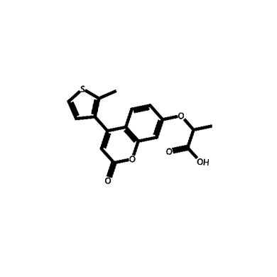 Cc1sccc1-c1cc(=O)oc2cc(OC(C)C(=O)O)ccc12